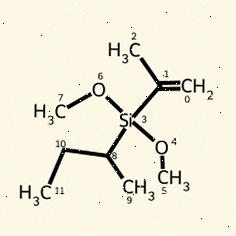 C=C(C)[Si](OC)(OC)C(C)CC